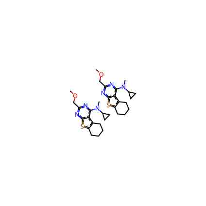 COCc1nc(N(C)C2CC2)c2c3c(sc2n1)CCCC3.COCc1nc(N(C)C2CC2)c2c3c(sc2n1)CCCC3